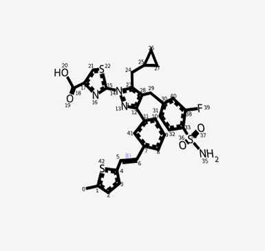 Cc1ccc(/C=C/c2cccc(-c3nn(-c4nc(C(=O)O)cs4)c(CC4CC4)c3Cc3ccc(S(N)(=O)=O)c(F)c3)c2)s1